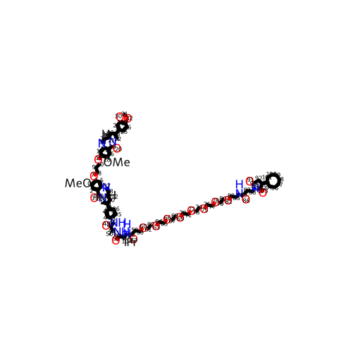 COc1cc2c(cc1OCCCOc1cc3c(cc1OC)C(=O)N1C=C(c4ccc5c(c4)OCO5)C[C@H]1C=N3)N=C[C@@H]1CC(c3ccc(NC(=O)[C@H](C)NC(=O)C(NC(=O)CCOCCOCCOCCOCCOCCOCCOCCOCCNC(=O)CCN4C(=O)CC(C5CCCCCCC5)C4=O)C(C)C)cc3)=CN1C2=O